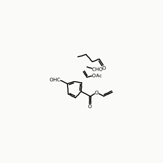 C=COC(=O)c1ccc(C=O)cc1.C=COC(C)=O.CC=O.CCCC=O